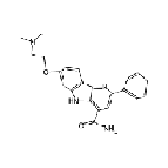 CN(C)CCOc1ccc2c(c1)[nH]c1c(C(N)=O)cc(-c3ccccc3)nc12